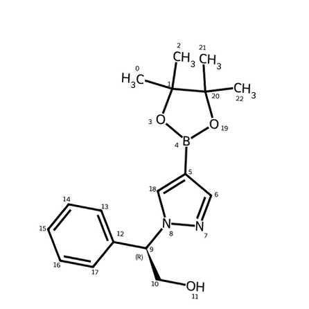 CC1(C)OB(c2cnn([C@@H](CO)c3ccccc3)c2)OC1(C)C